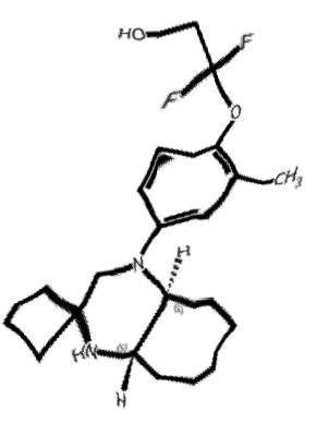 Cc1cc(N2CC3(CCC3)N[C@H]3CCCC[C@@H]32)ccc1OC(F)(F)CO